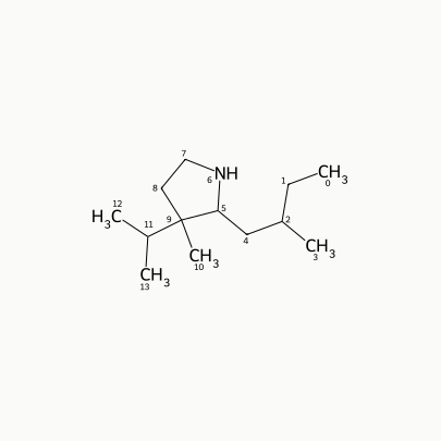 CCC(C)CC1NCCC1(C)C(C)C